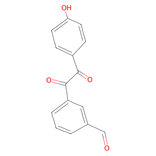 O=Cc1cccc(C(=O)C(=O)c2ccc(O)cc2)c1